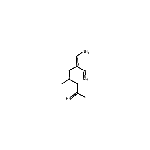 CC(=N)CC(C)C/C(C=N)=C/N